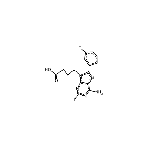 Nc1nc(I)nc2c1nc(-c1cccc(F)c1)n2CCCC(=O)O